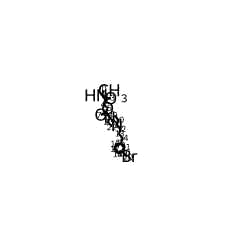 CNC(=O)COC(=O)N1CCN(CCCc2cccc(Br)c2)CC1